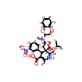 CC1=C(C(=O)O)C(c2cccc([N+](=O)[O-])c2)C(CCN(C)C2COc3ccccc3O2)(C(=O)OC(C)C)C(C)N1